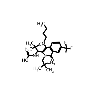 CCCCOc1c(C(NC(=O)O)C(C)(C)C)n(CC(C)(C)C)c(=O)c2cc(C(F)(F)F)ccc12